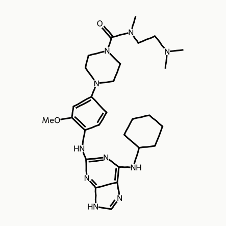 COc1cc(N2CCN(C(=O)N(C)CCN(C)C)CC2)ccc1Nc1nc(NC2CCCCC2)c2nc[nH]c2n1